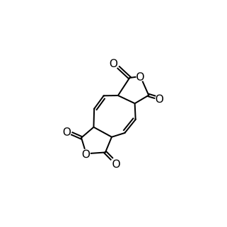 O=C1OC(=O)C2/C=C\C3C(=O)OC(=O)C3/C=C\C12